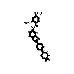 COc1cc(C(=O)O)ccc1NSc1ccc2sc(-c3ccc(C4CCC(C)(C)CC4)cc3)nc2c1